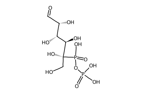 O=C[C@H](O)[C@@H](O)[C@@H](O)[C@](O)(CO)P(=O)(O)OP(=O)(O)O